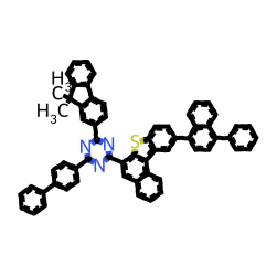 CC1(C)c2ccccc2-c2ccc(-c3nc(-c4ccc(-c5ccccc5)cc4)nc(-c4cc5ccccc5c5c4sc4ccc(-c6ccc(-c7ccccc7)c7ccccc67)cc45)n3)cc21